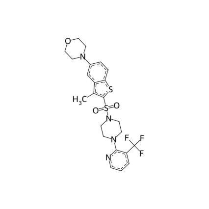 Cc1c(S(=O)(=O)N2CCN(c3ncccc3C(F)(F)F)CC2)sc2ccc(N3CCOCC3)cc12